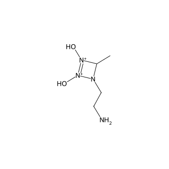 CC1N(CCN)[N+](O)=[N+]1O